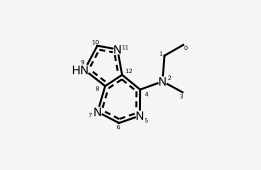 CCN(C)c1ncnc2[nH]cnc12